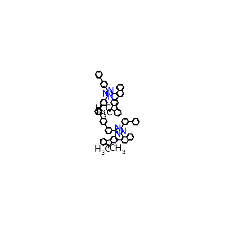 CC1(C)c2ccccc2-c2cc(-c3ccc4ccccc4c3-c3nc(-c4ccc(-c5ccccc5)cc4)nc(-c4ccc(-c5cccc(-c6ccc(-c7cccc(-c8nc(-c9cccc(-c%10ccccc%10)c9)nc(-c9c(-c%10ccc%11c(c%10)C(C)(C)c%10ccccc%10-%11)ccc%10ccccc9%10)n8)c7)cc6)c5)cc4)n3)ccc21